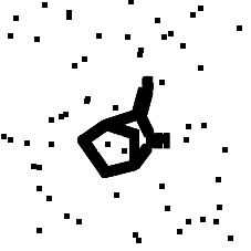 S=C1NC2CCC1C2